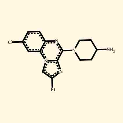 CCc1cn2c(n1)c(N1CCC(N)CC1)nc1ccc(Cl)cc12